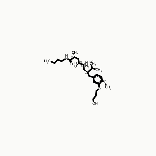 CCCCNC(=O)[C@H](C)C[C@H](O)[C@@H](N)C[C@H](Cc1ccc(OC)c(OCCCO)c1)C(C)C.Cl